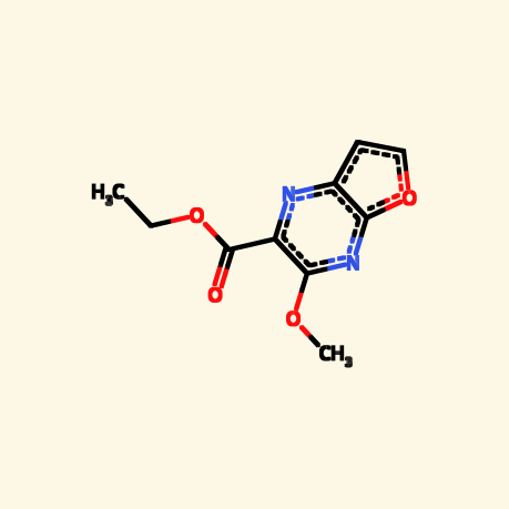 CCOC(=O)c1nc2ccoc2nc1OC